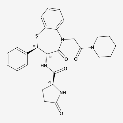 O=C1CC[C@@H](C(=O)N[C@H]2C(=O)N(CC(=O)N3CCCCC3)c3ccccc3S[C@@H]2c2ccccc2)N1